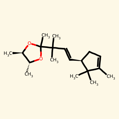 CC1=CC[C@H](/C=C/C(C)(C)C2(C)O[C@H](C)[C@@H](C)O2)C1(C)C